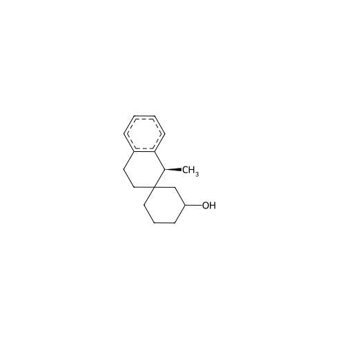 C[C@@H]1c2ccccc2CCC12CCCC(O)C2